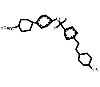 CCCCCC1CCC(c2ccc(OC(F)(F)c3ccc(CCC4CCC(CCC)CC4)cc3)cc2)CC1